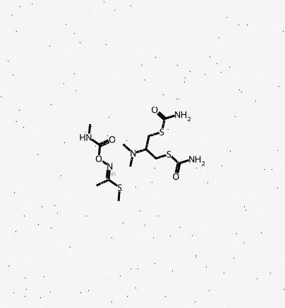 CN(C)C(CSC(N)=O)CSC(N)=O.CNC(=O)O/N=C(\C)SC